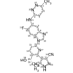 Cc1ccc(Nc2cc3ncn(-c4ccc([C@H](C)O)c(-c5c(C#N)n[nH]c5C)n4)c3cc2F)nn1